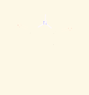 CN1C(=O)C2C3C=CC(C4C=CC43)C2C1=O